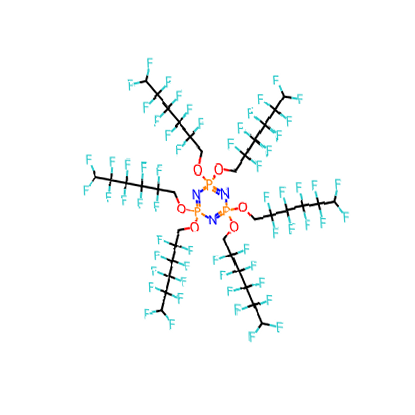 FC(F)C(F)(F)C(F)(F)C(F)(F)C(F)(F)COP1(OCC(F)(F)C(F)(F)C(F)(F)C(F)(F)C(F)F)=NP(OCC(F)(F)C(F)(F)C(F)(F)C(F)(F)C(F)F)(OCC(F)(F)C(F)(F)C(F)(F)C(F)(F)C(F)F)=NP(OCC(F)(F)C(F)(F)C(F)(F)C(F)(F)C(F)F)(OCC(F)(F)C(F)(F)C(F)(F)C(F)(F)C(F)F)=N1